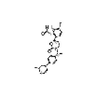 Cc1cc(-c2ccc([C@H](C)N3CC[C@](CCC(N)=O)(c4ccc(F)cc4)OC3=O)cc2)ccn1